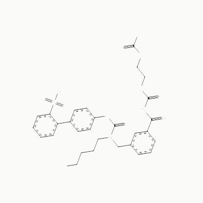 CCCCCN(Cc1cccc(C(=N)NC(=O)OCCOC(C)=O)c1)C(=O)Oc1ccc(-c2ccccc2S(N)(=O)=O)cc1